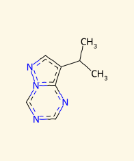 CC(C)c1cnn2cncnc12